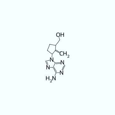 C=C1C(CO)CCC1n1cnc2c(N)ncnc21